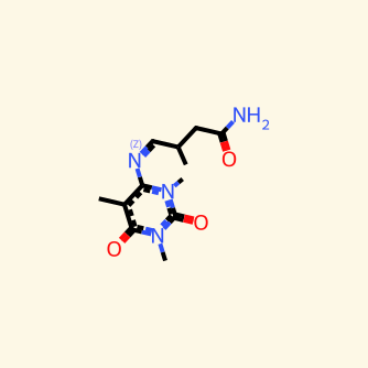 Cc1c(/N=C\C(C)CC(N)=O)n(C)c(=O)n(C)c1=O